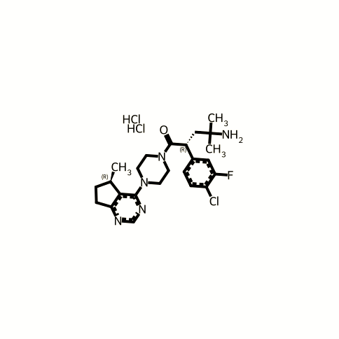 C[C@@H]1CCc2ncnc(N3CCN(C(=O)[C@H](CC(C)(C)N)c4ccc(Cl)c(F)c4)CC3)c21.Cl.Cl